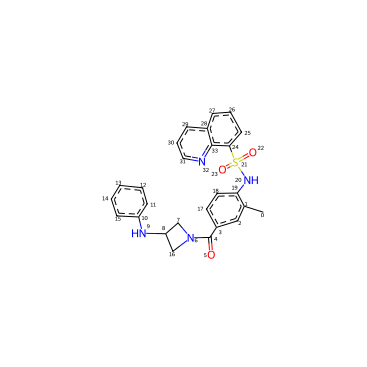 Cc1cc(C(=O)N2CC(Nc3ccccc3)C2)ccc1NS(=O)(=O)c1cccc2cccnc12